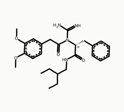 CCC(CC)CNC(=O)[C@@H](Cc1ccccc1)N(C(=N)N)C(=O)Cc1ccc(OC)c(OC)c1